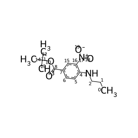 CCCNc1ccc(C(=O)OC(C)(C)C)cc1[N+](=O)[O-]